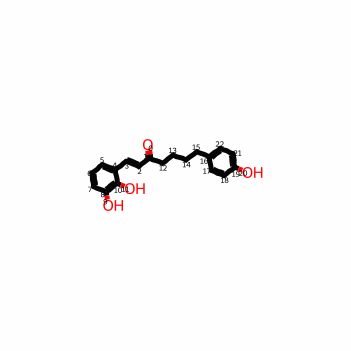 O=C(C=Cc1cccc(O)c1O)CCCCc1ccc(O)cc1